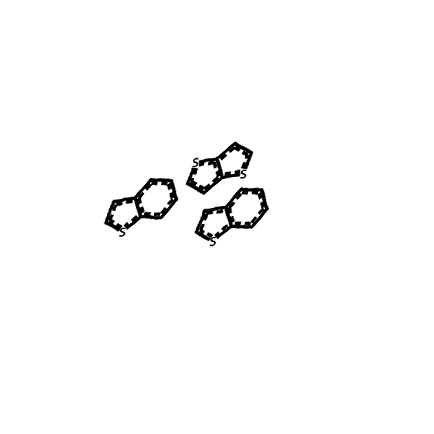 c1cc2sccc2s1.c1ccc2sccc2c1.c1ccc2sccc2c1